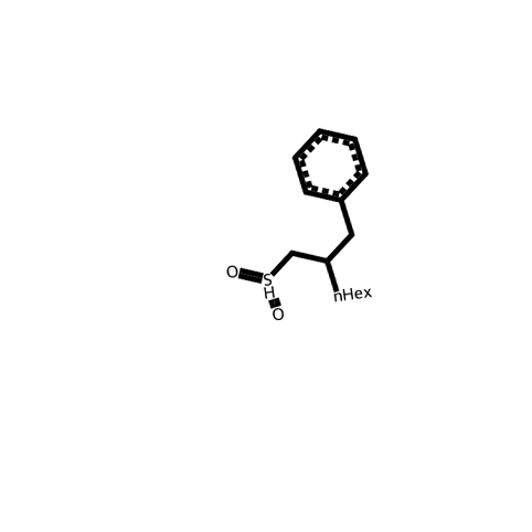 CCCCCCC(Cc1ccccc1)C[SH](=O)=O